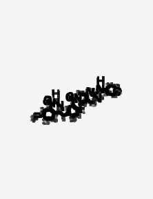 O=C(c1cc(Cc2n[nH]c(=O)c3cc(F)ccc23)ccc1F)N1Cc2cnc(NC3CCOCC3)nc2C1